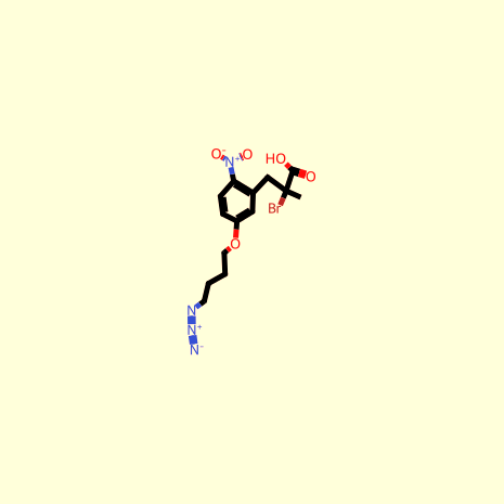 CC(Br)(Cc1cc(OCCCCN=[N+]=[N-])ccc1[N+](=O)[O-])C(=O)O